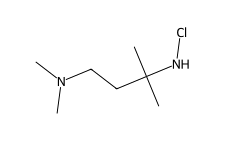 CN(C)CCC(C)(C)NCl